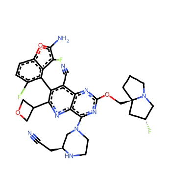 N#CC[C@H]1CN(c2nc(OC[C@@]34CCCN3C[C@H](F)C4)nc3c(C#N)c(-c4c(F)ccc5oc(N)c(F)c45)c(C4COC4)nc23)CCN1